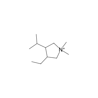 CCC1C[N+](C)(C)CC1C(C)C